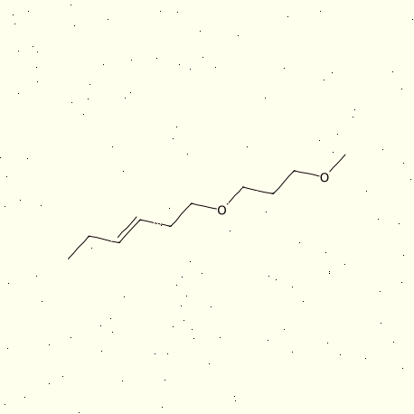 CCC=CCCOCCCOC